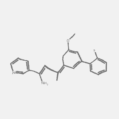 COC1=CC(c2ccccc2F)=C/C(=C(C)/C=C(\N)c2cccnc2)C1